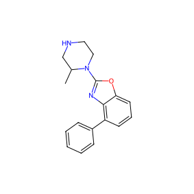 CC1CNCCN1c1nc2c(-c3ccccc3)cccc2o1